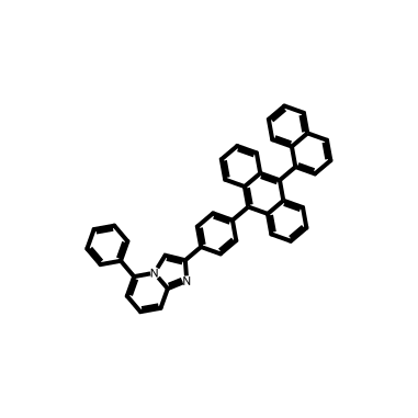 c1ccc(-c2cccc3nc(-c4ccc(-c5c6ccccc6c(-c6cccc7ccccc67)c6ccccc56)cc4)cn23)cc1